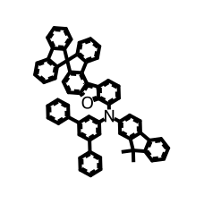 CC1(C)c2ccccc2-c2ccc(N(c3cc(-c4ccccc4)cc(-c4ccccc4)c3)c3cccc4c3oc3ccc5c(c34)-c3ccccc3C53c4ccccc4-c4ccccc43)cc21